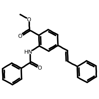 COC(=O)c1ccc(C=Cc2ccccc2)cc1NC(=O)c1ccccc1